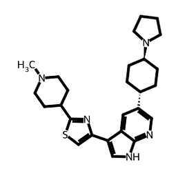 CN1CCC(c2nc(-c3c[nH]c4ncc([C@H]5CC[C@H](N6CCCC6)CC5)cc34)cs2)CC1